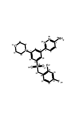 Nc1ccc(-c2cc(N3CCOCC3)cc(S(=O)(=O)Cc3ccc(F)cc3F)c2)nn1